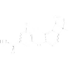 NC(=O)c1cc(F)cc(OC2=C=C=C3C(=C2C(F)(F)F)C(O)C3(F)F)c1